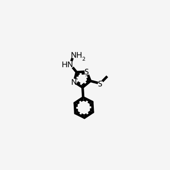 CSc1sc(NN)nc1-c1ccccc1